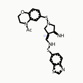 CC(=O)N1CCOc2ccc(SN3CC(=N)/C(=C\NSc4ccc5ncsc5c4)C3)cc21